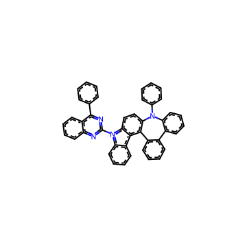 c1ccc(-c2nc(-n3c4ccccc4c4c5c(ccc43)N(c3ccccc3)c3ccccc3-c3ccccc3-5)nc3ccccc23)cc1